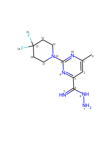 Cc1cc(C(=N)NN)nc(N2CCC(F)(F)CC2)n1